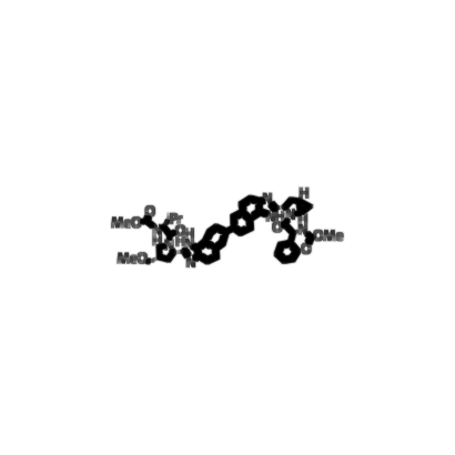 COC[C@H]1C[C@@H](c2nc3ccc4cc(-c5ccc6c(ccc7nc([C@@H]8C[C@H]9C=C9N8C(=O)[C@H](NC(=O)OC)c8ccccc8)[nH]c76)c5)ccc4c3[nH]2)N(C(O)[C@@H](NC(=O)OC)C(C)C)C1